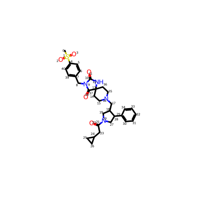 CS(=O)(=O)c1ccc(CN2C(=O)NC3(CCN(CC4CN(C(=O)CC5CC5)CC4c4ccccc4)CC3)C2=O)cc1